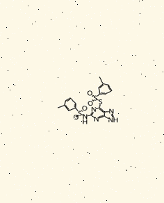 Cc1cccc(S(=O)(=O)Nc2nc(SS(=O)(=O)c3cccc(C)c3)c3nc[nH]c3n2)c1